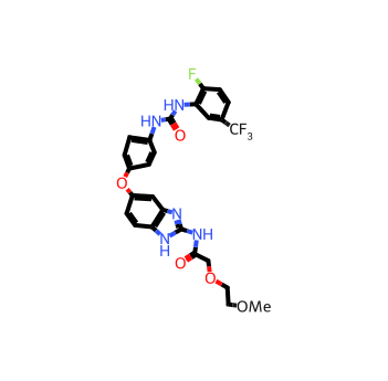 COCCOCC(=O)Nc1nc2cc(Oc3ccc(NC(=O)Nc4cc(C(F)(F)F)ccc4F)cc3)ccc2[nH]1